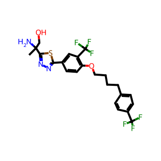 CC(N)(CO)c1nnc(-c2ccc(OCCCCc3ccc(C(F)(F)F)cc3)c(C(F)(F)F)c2)s1